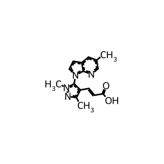 Cc1cnc2c(ccn2-c2c(C=CC(=O)O)c(C)nn2C)c1